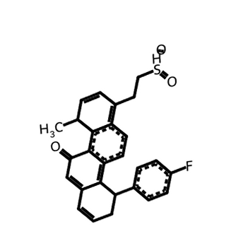 CC1C=CC(CC[SH](=O)=O)=c2ccc3c(c21)C(=O)C=C1C=CCC(c2ccc(F)cc2)C=31